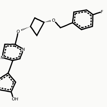 Oc1cc(-c2cnc(O[C@H]3C[C@@H](OCc4ccc(F)cc4)C3)cn2)on1